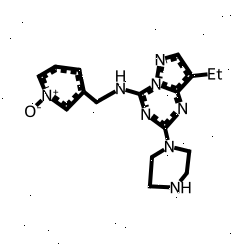 CCc1cnn2c(NCc3ccc[n+]([O-])c3)nc(N3CCNCC3)nc12